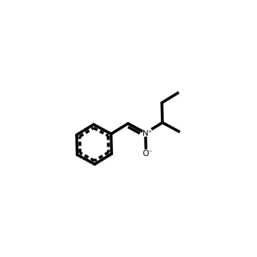 CCC(C)[N+]([O-])=Cc1ccccc1